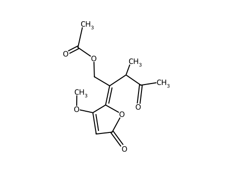 COC1=CC(=O)OC1=C(COC(C)=O)C(C)C(C)=O